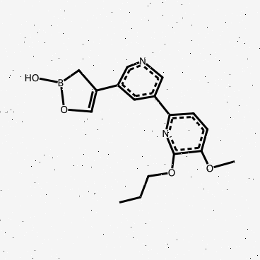 CCCOc1nc(-c2cncc(C3=COB(O)C3)c2)ccc1OC